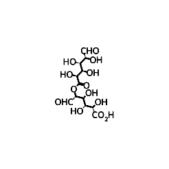 O=C[C@H](OC(=O)[C@@H](O)[C@H](O)[C@H](O)[C@@H](O)C=O)[C@@H](O)[C@@H](O)[C@H](O)C(=O)O